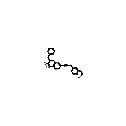 O=c1[nH]c2ccc(C#CCc3ccc4occc4c3)cc2cc1Cc1ccccc1